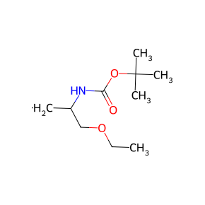 [CH2]C(COCC)NC(=O)OC(C)(C)C